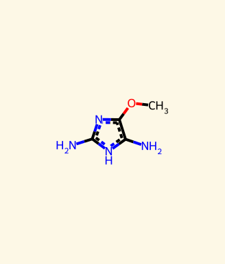 COc1nc(N)[nH]c1N